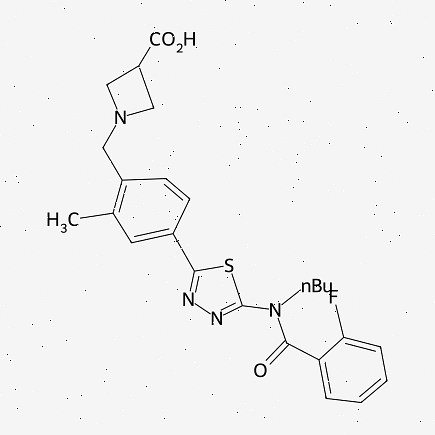 CCCCN(C(=O)c1ccccc1F)c1nnc(-c2ccc(CN3CC(C(=O)O)C3)c(C)c2)s1